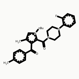 CCCCn1cc(C)c(C(=O)c2ccc(C)cc2)c1C(=O)N1CCN(c2ccccc2F)CC1